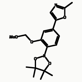 COCOc1cc(-c2cnc(C)o2)ccc1B1OC(C)(C)C(C)(C)O1